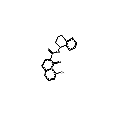 Cc1cccc2ncc(C(=O)NC3CCCc4ccccc43)c(=O)n12